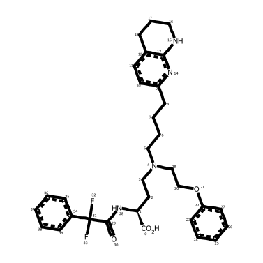 O=C(O)[C@H](CCN(CCCCc1ccc2c(n1)NCCC2)CCOc1ccccc1)NC(=O)C(F)(F)c1ccccc1